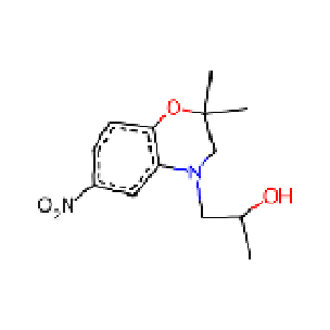 CC(O)CN1CC(C)(C)Oc2ccc([N+](=O)[O-])cc21